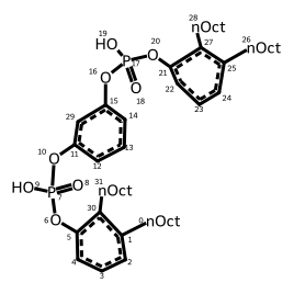 CCCCCCCCc1cccc(OP(=O)(O)Oc2cccc(OP(=O)(O)Oc3cccc(CCCCCCCC)c3CCCCCCCC)c2)c1CCCCCCCC